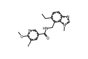 CCc1ccc2ncn(C)c2c1CNC(=O)c1cnc(OC)c(F)c1